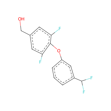 OCc1cc(F)c(Oc2cccc(C(F)F)c2)c(F)c1